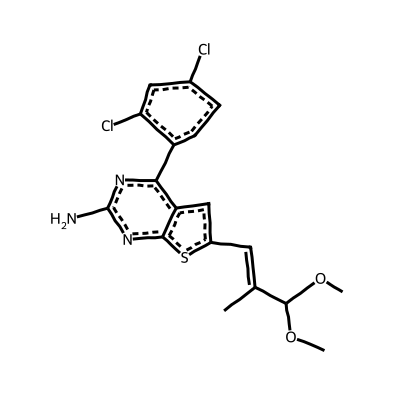 COC(OC)/C(C)=C/c1cc2c(-c3ccc(Cl)cc3Cl)nc(N)nc2s1